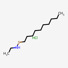 CCCCCCCCCCSNCC.Cl